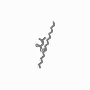 CC(C)=CC(=O)O.CCCCCCCCCCCCCCCC